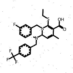 CCSC1=C(C(=O)O)C(C)=CC(N(C)Cc2ccc(C(F)(F)F)cc2)N1Cc1cccc(F)c1